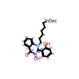 CCCCCCCCCCCCCCCCN1c2ccccc2C(=O)N(O)C1c1ccccc1O